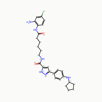 Nc1cc(F)ccc1NC(=O)CCCCCNC(=O)c1cc(-c2ccc(NC3CCCC3)cc2)n[nH]1